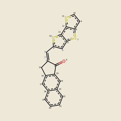 O=C1/C(=C\c2cc3sc4ccsc4c3s2)Cc2cc3ccccc3cc21